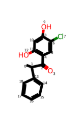 CC(C(=O)c1cc(Cl)c(O)cc1O)c1ccccc1